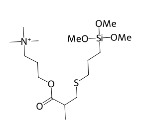 CO[Si](CCCSCC(C)C(=O)OCCC[N+](C)(C)C)(OC)OC